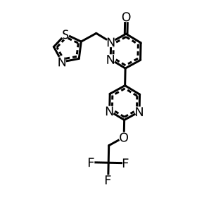 O=c1ccc(-c2cnc(OCC(F)(F)F)nc2)nn1Cc1cncs1